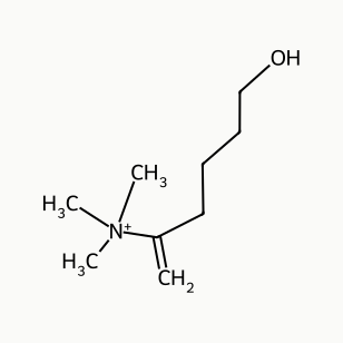 C=C(CCCCO)[N+](C)(C)C